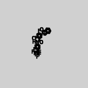 O=C(Nc1ccc(C(F)(C(F)(F)F)C(F)(F)F)cc1)c1cc(N2Cc3ccccc3C2=O)c(F)cc1Cl